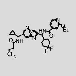 CCOc1cc(C(=O)N[C@H](c2cn3ncc([C@H](NC(=O)CCC(F)(F)F)C4CC4)cc3n2)C2CCC(F)(F)CC2)ccn1